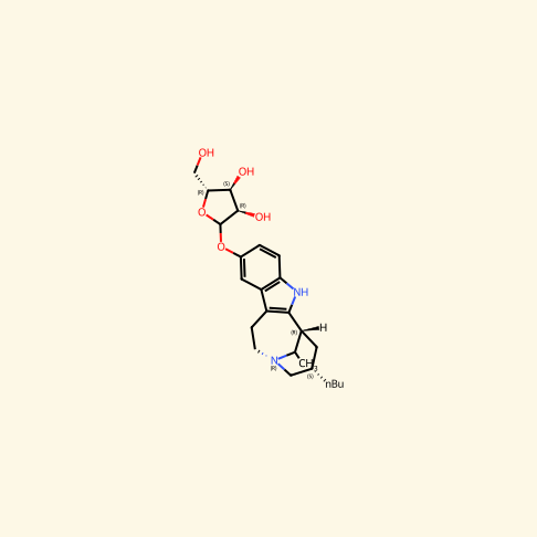 CCCC[C@H]1C[C@H]2c3[nH]c4ccc(OC5O[C@H](CO)[C@@H](O)[C@H]5O)cc4c3CC[N@@](C1)C2C